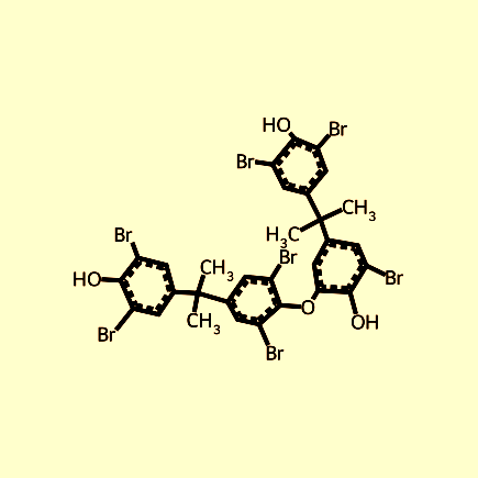 CC(C)(c1cc(Br)c(O)c(Br)c1)c1cc(Br)c(Oc2cc(C(C)(C)c3cc(Br)c(O)c(Br)c3)cc(Br)c2O)c(Br)c1